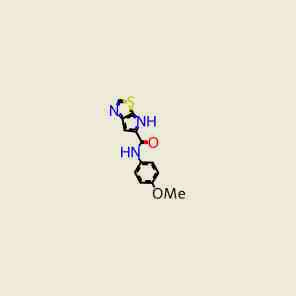 COc1ccc(NC(=O)c2cc3ncsc3[nH]2)cc1